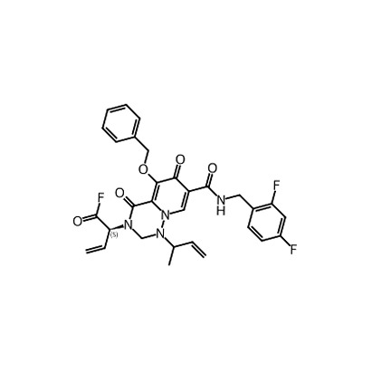 C=CC(C)N1CN([C@@H](C=C)C(=O)F)C(=O)c2c(OCc3ccccc3)c(=O)c(C(=O)NCc3ccc(F)cc3F)cn21